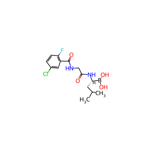 CC(C)C[C@H](NC(=O)CNC(=O)c1cc(Cl)ccc1F)B(O)O